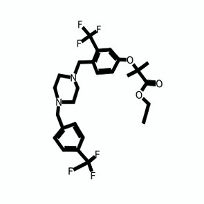 CCOC(=O)C(C)(C)Oc1ccc(CN2CCN(Cc3ccc(C(F)(F)F)cc3)CC2)c(C(F)(F)F)c1